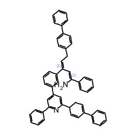 N/C(=C\C(=C/Cc1ccc(-c2ccccc2)cc1)c1cccc(-c2cc(-c3ccccc3)nc(C3C=CC(c4ccccc4)=CC3)c2)c1)c1ccccc1